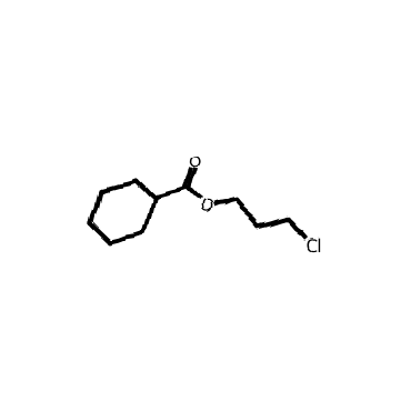 O=C(OCCCCl)C1CCCCC1